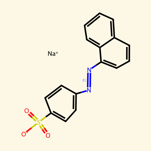 O=S(=O)([O-])c1ccc(/N=N/c2cccc3ccccc23)cc1.[Na+]